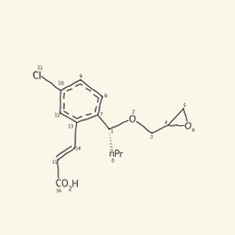 CCC[C@@H](OCC1CO1)c1ccc(Cl)cc1/C=C/C(=O)O